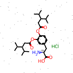 CC(C)C(CC(=O)Oc1ccc(C[C@H](N)C(=O)O)cc1OC(=O)CC(C(C)C)C(C)C)C(C)C.Cl